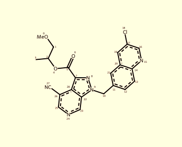 COCC(C)OC(=O)c1nn(Cc2ccc3ncc(Cl)cc3c2)c2cncc(C#N)c12